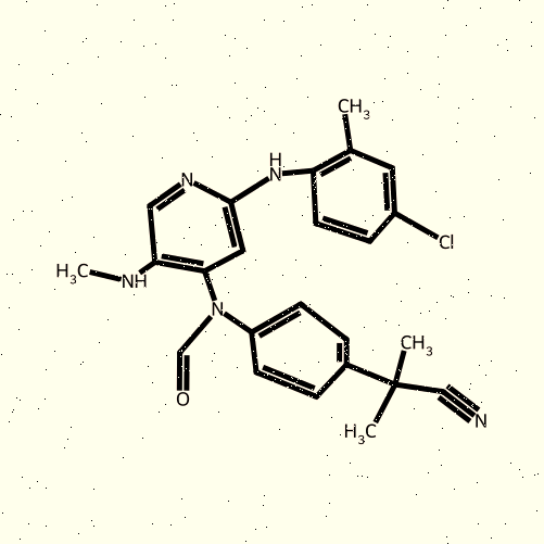 CNc1cnc(Nc2ccc(Cl)cc2C)cc1N(C=O)c1ccc(C(C)(C)C#N)cc1